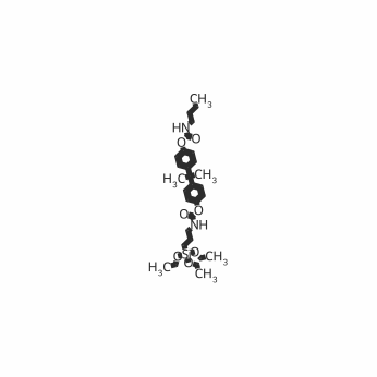 CCCCNC(=O)Oc1ccc(C(C)(C)c2ccc(OC(=O)NCCC[Si](OCC)(OCC)OCC)cc2)cc1